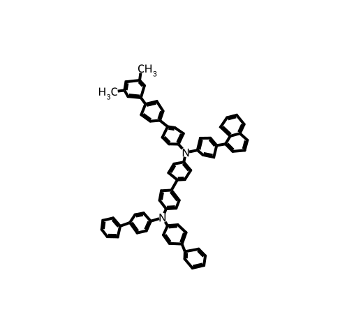 Cc1cc(C)cc(-c2ccc(-c3ccc(N(c4ccc(-c5ccc(N(c6ccc(-c7ccccc7)cc6)c6ccc(-c7ccccc7)cc6)cc5)cc4)c4ccc(-c5cccc6ccccc56)cc4)cc3)cc2)c1